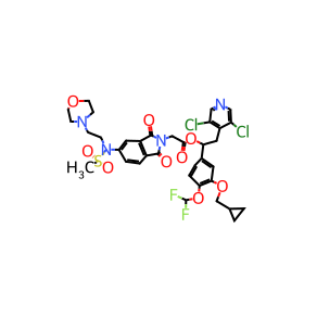 CS(=O)(=O)N(CCN1CCOCC1)c1ccc2c(c1)C(=O)N(CC(=O)OC(Cc1c(Cl)cncc1Cl)c1ccc(OC(F)F)c(OCC3CC3)c1)C2=O